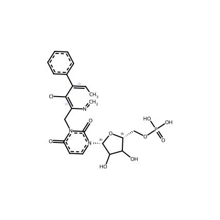 C=N/C(Cn1c(=O)ccn([C@@H]2O[C@H](COP(=O)(O)O)C(O)C2O)c1=O)=C(Cl)\C(=C/C)c1ccccc1